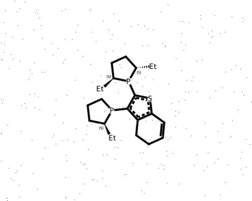 CC[C@H]1CCCP1c1c(P2[C@@H](CC)CC[C@@H]2CC)sc2c1CCC=C2